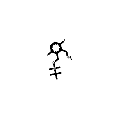 CC(C)(C)[Si](C)(C)OCc1c(F)ccc(F)c1CN